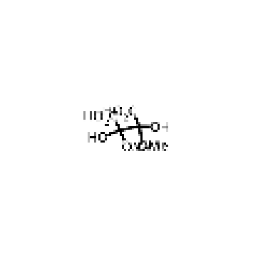 COC(O)(C(=O)O)C(O)(OC)C(=O)O